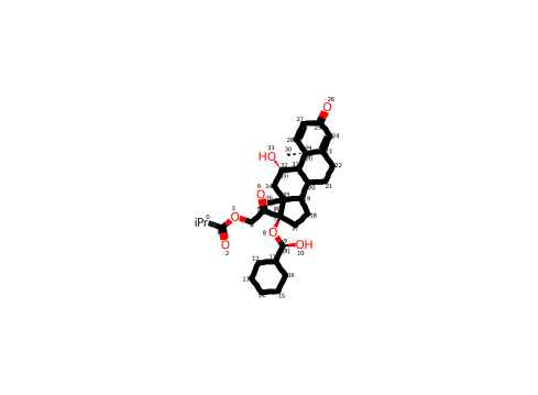 CC(C)C(=O)OCC(=O)[C@@]1(O[C@@H](O)C2CCCCC2)CCC2C3CCC4=CC(=O)C=C[C@]4(C)C3[C@@H](O)CC21C